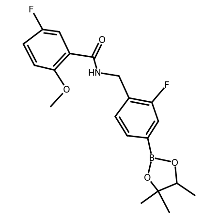 COc1ccc(F)cc1C(=O)NCc1ccc(B2OC(C)C(C)(C)O2)cc1F